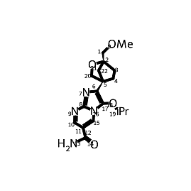 COC[C@]12CC[C@](c3nc4ncc(C(N)=O)cn4c3OC(C)C)(CO1)C2